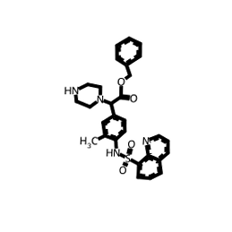 Cc1cc(C(C(=O)OCc2ccccc2)N2CCNCC2)ccc1NS(=O)(=O)c1cccc2cccnc12